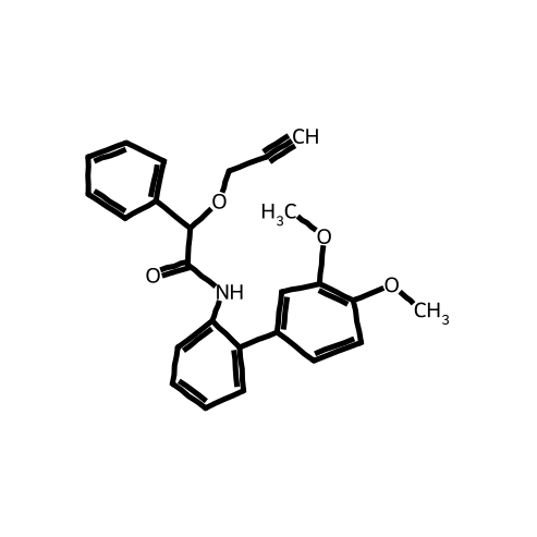 C#CCOC(C(=O)Nc1ccccc1-c1ccc(OC)c(OC)c1)c1ccccc1